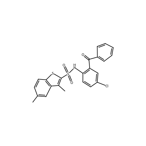 Cc1ccc2sc(S(=O)(=O)Nc3ccc(Cl)cc3C(=O)c3ccccc3)c(C)c2c1